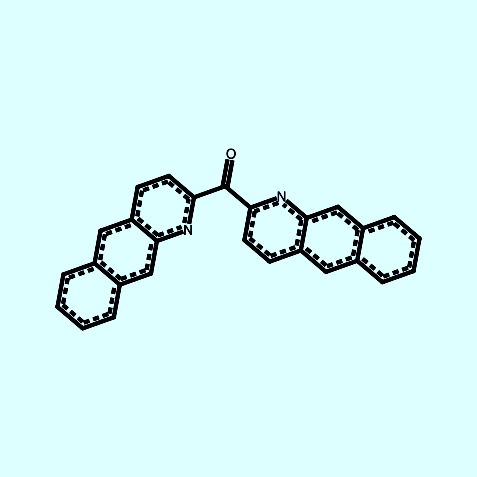 O=C(c1ccc2cc3ccccc3cc2n1)c1ccc2cc3ccccc3cc2n1